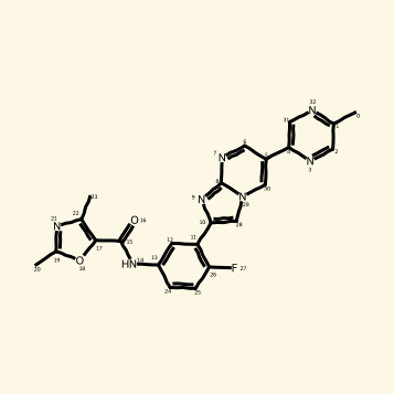 Cc1cnc(-c2cnc3nc(-c4cc(NC(=O)c5oc(C)nc5C)ccc4F)cn3c2)cn1